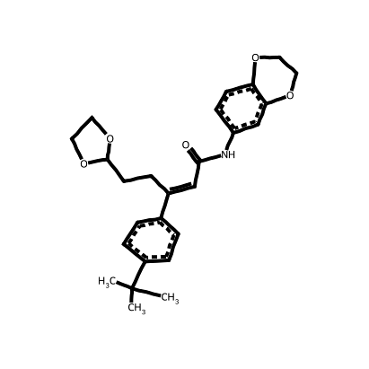 CC(C)(C)c1ccc(/C(=C/C(=O)Nc2ccc3c(c2)OCCO3)CCC2OCCO2)cc1